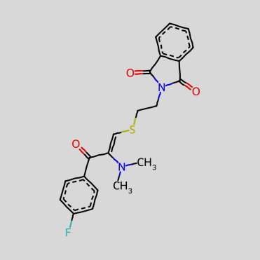 CN(C)C(=CSCCN1C(=O)c2ccccc2C1=O)C(=O)c1ccc(F)cc1